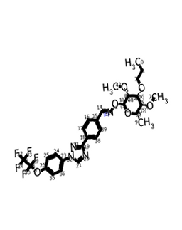 CCCO[C@@H]1[C@@H](OC)[C@H](C)O[C@@H](O/N=C/c2ccc(-c3ncn(-c4ccc(OC(F)(F)C(F)(F)F)cc4)n3)cc2)[C@@H]1OC